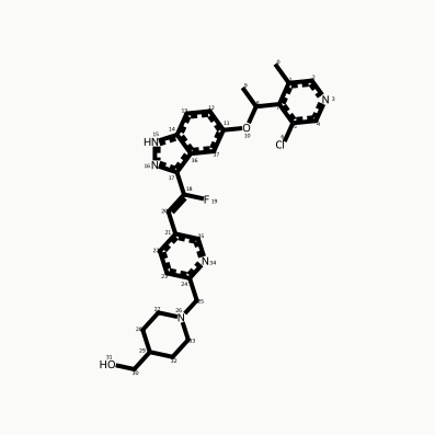 Cc1cncc(Cl)c1C(C)Oc1ccc2[nH]nc(/C(F)=C/c3ccc(CN4CCC(CO)CC4)nc3)c2c1